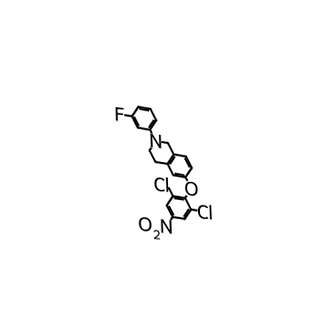 O=[N+]([O-])c1cc(Cl)c(Oc2ccc3c(c2)CCN(c2cccc(F)c2)C3)c(Cl)c1